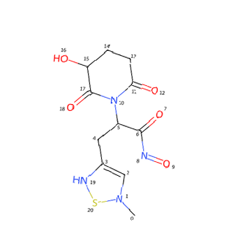 CN1C=C(CC(C(=O)N=O)N2C(=O)CCC(O)C2=O)NS1